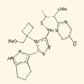 COCC1(n2c(NSC(C)C(OC)c3ncc(Cl)cn3)nnc2-c2n[nH]c3c2CCC3)CCC1